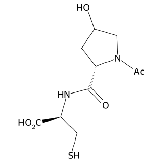 CC(=O)N1CC(O)C[C@H]1C(=O)N[C@@H](CS)C(=O)O